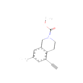 C#Cc1cc([N+](=O)[O-])cc2c1CCN(C(=O)OC(C)(C)C)C2